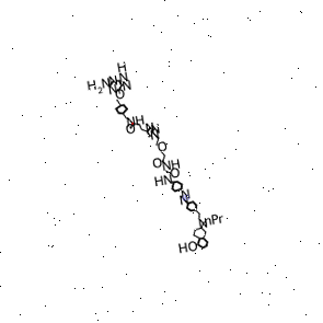 CCCN(CCc1ccc(/N=N/c2ccc(NC(=O)CNC(=O)CCOCCn3cc(CCC(=O)NCc4ccc(COc5nc(N)nc6[nH]cnc56)cc4)nn3)cc2)cc1)C1CCc2c(O)cccc2C1